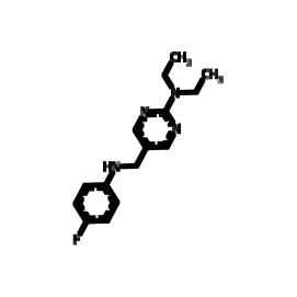 CCN(CC)c1ncc(CNc2ccc(F)cc2)cn1